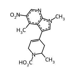 Cc1c([N+](=O)[O-])cnc2c1c(C1=CCN(C(=O)O)C(C)C1)cn2C